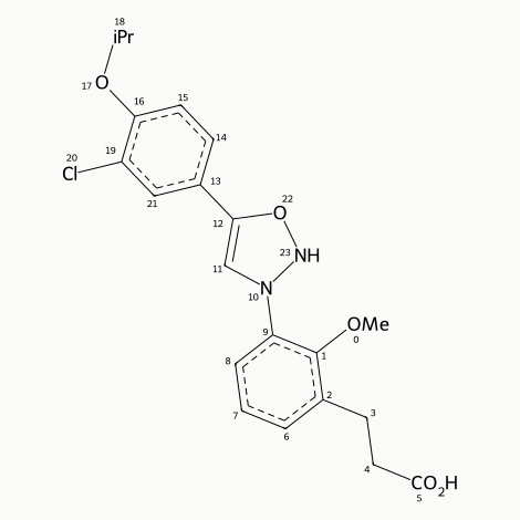 COc1c(CCC(=O)O)cccc1N1C=C(c2ccc(OC(C)C)c(Cl)c2)ON1